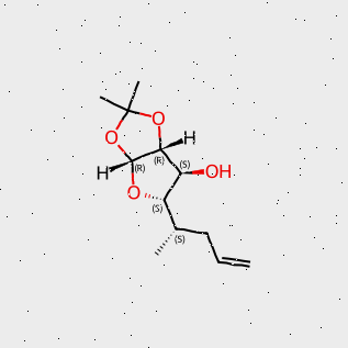 C=CC[C@H](C)[C@@H]1O[C@@H]2OC(C)(C)O[C@@H]2[C@H]1O